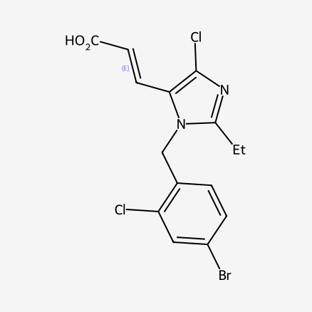 CCc1nc(Cl)c(/C=C/C(=O)O)n1Cc1ccc(Br)cc1Cl